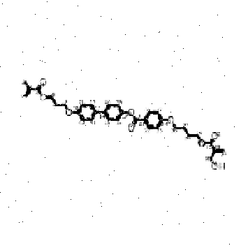 C=C(C)C(=O)OCCCOc1ccc(-c2ccc(OC(=O)c3ccc(OCCCCOC(=O)C(=C)CO)cc3)cc2)cc1